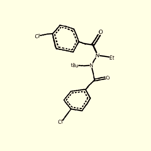 CCN(C(=O)c1ccc(Cl)cc1)N(C(=O)c1ccc(Cl)cc1)C(C)(C)C